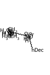 CCCCCCCCCCCCCCCCCCNC(=O)C(NC(=O)CCCCCCCCCC[Si](C)(O[Si](C)(C)C)O[Si](C)(C)C)C(C)C